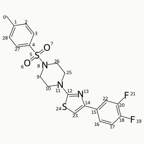 Cc1ccc(S(=O)(=O)N2CCN(c3nc(-c4ccc(F)c(F)c4)cs3)CC2)cc1